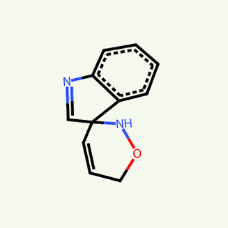 C1=CC2(C=Nc3ccccc32)NOC1